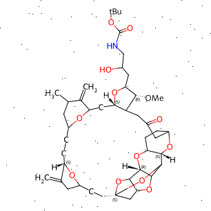 C=C1C(C)CC2CC[C@@H]3OC(CC[C@@]45CC6OC7C(O4)[C@H]4OC(CCC4O[C@H]7C6O5)CC(=O)CC4[C@@H](OC)C(CC(O)CNC(=O)OC(C)(C)C)O[C@H]4CC1O2)CC3=C